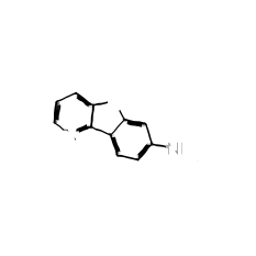 Nc1ccc2c(c1)sc1cccnc12